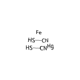 N#CS.N#CS.[Fe].[Hg]